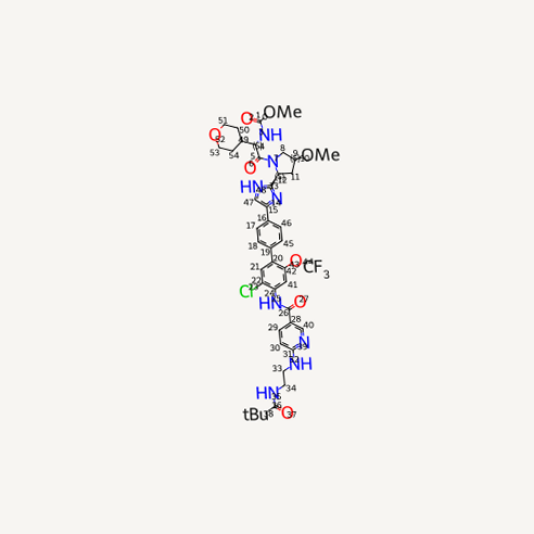 COC(=O)N[C@H](C(=O)N1C[C@@H](OC)C[C@H]1c1nc(-c2ccc(-c3cc(Cl)c(NC(=O)c4ccc(NCCNC(=O)C(C)(C)C)nc4)cc3OC(F)(F)F)cc2)c[nH]1)C1CCOCC1